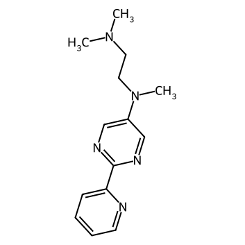 CN(C)CCN(C)c1cnc(-c2ccccn2)nc1